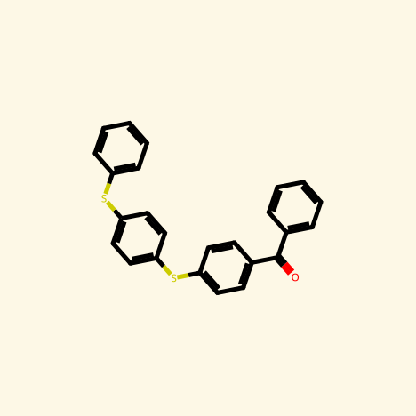 O=C(c1ccccc1)c1ccc(Sc2ccc(Sc3ccccc3)cc2)cc1